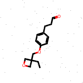 CCC1(COc2ccc(CCC=O)cc2)COC1